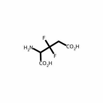 NC(C(=O)O)C(F)(F)CC(=O)O